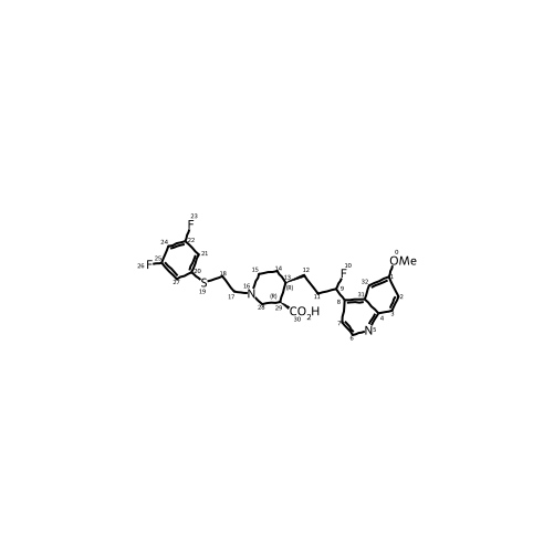 COc1ccc2nccc(C(F)CC[C@@H]3CCN(CCSc4cc(F)cc(F)c4)C[C@@H]3C(=O)O)c2c1